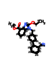 CCOc1nc2c(C(=O)OC)cccc2n1Cc1ccc(-c2ccccc2C#N)cc1